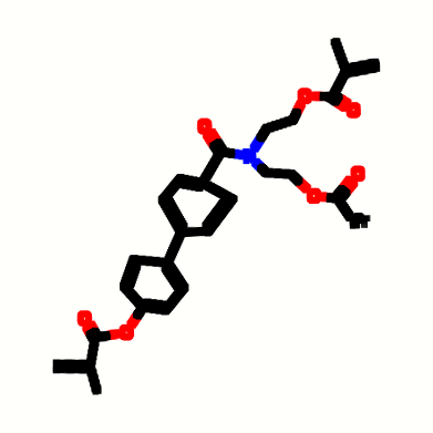 C=C(C)C(=O)OCCN(CCOC(=O)C(C)C)C(=O)c1ccc(-c2ccc(OC(=O)C(=C)C)cc2)cc1